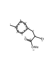 CCC(Cc1ccc(C)cc1)C(=O)OC